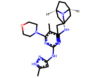 Cc1cc(Nc2nc(N[C@@H]3C[C@H]4CC[C@@H](C3)N4CCC#N)c(C)c(N3CCOCC3)n2)n[nH]1